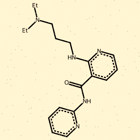 CCN(CC)CCCNc1ncccc1C(=O)Nc1ccccn1